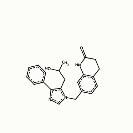 CC(O)Cc1c(-c2ccccc2)ncn1Cc1ccc2c(c1)NC(=O)CC2